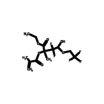 C=C(C)C(=O)OC(C)(C(=O)OCC)C(F)(F)C(O)OCC(F)(F)F